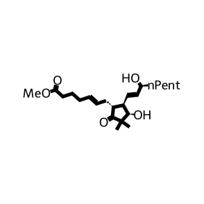 CCCCC[C@H](O)C=C[C@@H]1[C@@H](CC=CCCCC(=O)OC)C(=O)C(C)(C)[C@H]1O